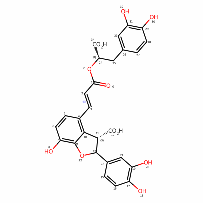 O=C(/C=C/c1ccc(O)c2c1[C@H](C(=O)O)C(c1ccc(O)c(O)c1)O2)O[C@H](Cc1ccc(O)c(O)c1)C(=O)O